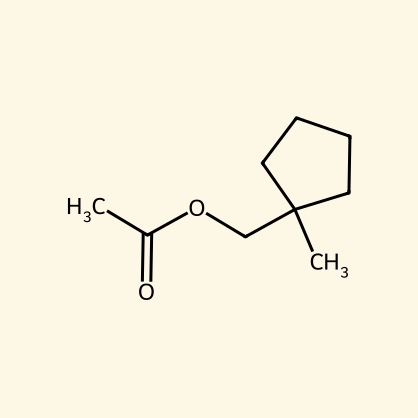 CC(=O)OCC1(C)CCCC1